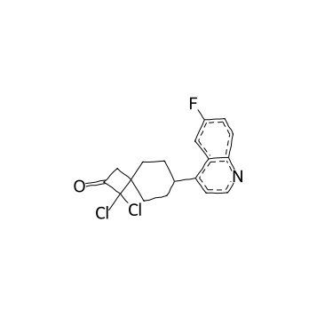 O=C1CC2(CCC(c3ccnc4ccc(F)cc34)CC2)C1(Cl)Cl